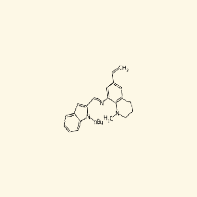 C=Cc1cc2c(c(/N=C/c3cc4ccccc4n3CCCC)c1)N(C)CCC2